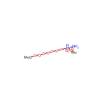 COCCOCCOCCOCCOCCOCCOCCOCCC(=O)N[C@@H](CC(N)=O)C(=O)OC(C)(C)C